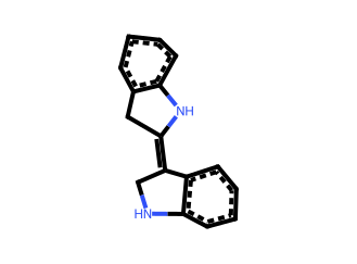 c1ccc2c(c1)CC(=C1CNc3ccccc31)N2